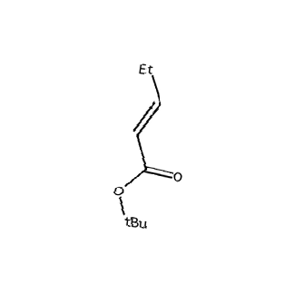 CC/C=C/C(=O)OC(C)(C)C